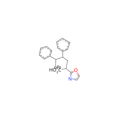 CCCC(c1ccccc1)C(CC(C(=O)O)c1ncco1)c1ccccc1